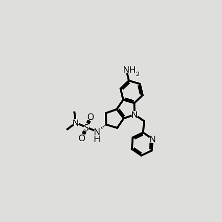 CN(C)S(=O)(=O)N[C@@H]1Cc2c(n(Cc3ccccn3)c3ccc(N)cc23)C1